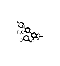 Cc1nc2cc(-c3ccc(N4CCN(C)CC4)c(C(F)(F)F)c3)cc(O[C@H](C)[C@H]3CCCC(=O)C3)c2s1